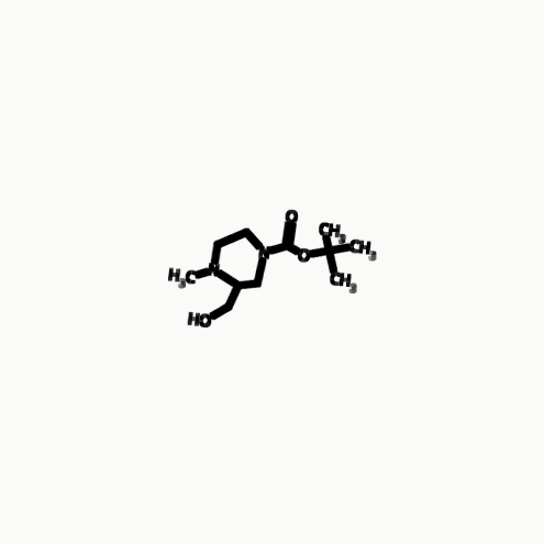 CN1CCN(C(=O)OC(C)(C)C)CC1CO